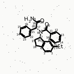 CCc1ccc2c(c1)[C@H](N(C(=O)c1ccccc1)[C@@H](C(N)=O)c1ccccc1)CC2